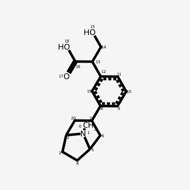 CN1C2CCC1CC(c1cccc(C(CO)C(=O)O)c1)C2